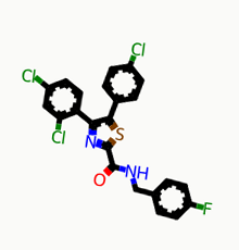 O=C(NCc1ccc(F)cc1)c1nc(-c2ccc(Cl)cc2Cl)c(-c2ccc(Cl)cc2)s1